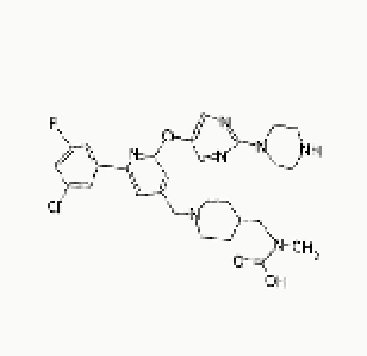 CN(CC1CCN(Cc2cc(Oc3cnc(N4CCNCC4)nc3)nc(-c3cc(F)cc(Cl)c3)c2)CC1)C(=O)O